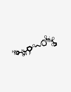 C[C@H](NC(=O)c1ccco1)C(=O)N1CCCN(CCCOc2ccc(-c3noc(-c4cn[nH]c4)n3)c(F)c2)CC1